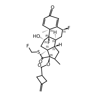 C=C1CC(C(=O)O[C@]2(C(=O)SCF)C(C)C[C@H]3[C@@H]4C[C@H](F)C5=CC(=O)C=C[C@]5(C)[C@@]4(F)[C@@H](O)C[C@@]32C)C1